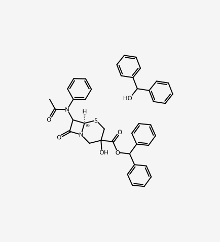 CC(=O)N(c1ccccc1)C1C(=O)N2CC(O)(C(=O)OC(c3ccccc3)c3ccccc3)CS[C@H]12.OC(c1ccccc1)c1ccccc1